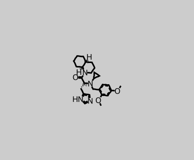 COc1ccc(CN(C2CC2)[C@H](Cc2cnc[nH]2)C(=O)N2CCC[C@H]3CCCC[C@@H]32)c(OC)c1